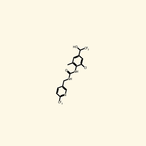 Cc1cc(C(O)C(F)(F)F)cc(Cl)c1NC(=O)NCc1ccc(C(F)(F)F)nc1